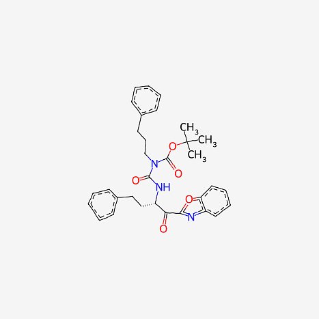 CC(C)(C)OC(=O)N(CCCc1ccccc1)C(=O)N[C@@H](CCc1ccccc1)C(=O)c1nc2ccccc2o1